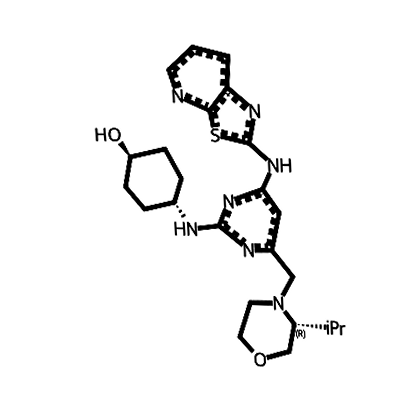 CC(C)[C@@H]1COCCN1Cc1cc(Nc2nc3cccnc3s2)nc(N[C@H]2CC[C@H](O)CC2)n1